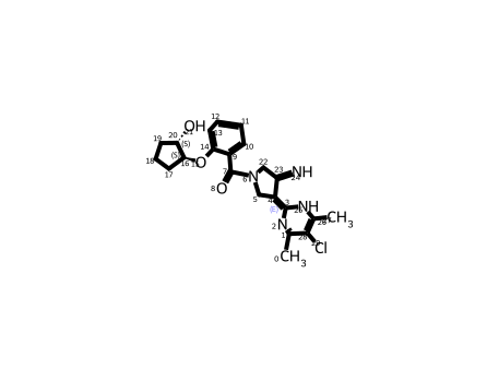 CC1=N/C(=C2\CN(C(=O)c3ccccc3O[C@H]3CCC[C@@H]3O)CC2=N)NC(C)=C1Cl